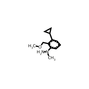 COCc1c(C2CC2)cccc1N(C)N